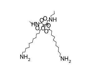 CCCNC(=O)[C@H](OC(=O)CCCCCCCCCCN)[C@@H](OC(=O)CCCCCCCCCCN)C(=O)NCCC